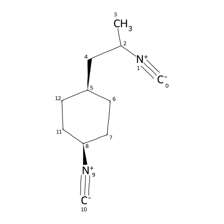 [C-]#[N+]C(C)C[C@H]1CC[C@@H]([N+]#[C-])CC1